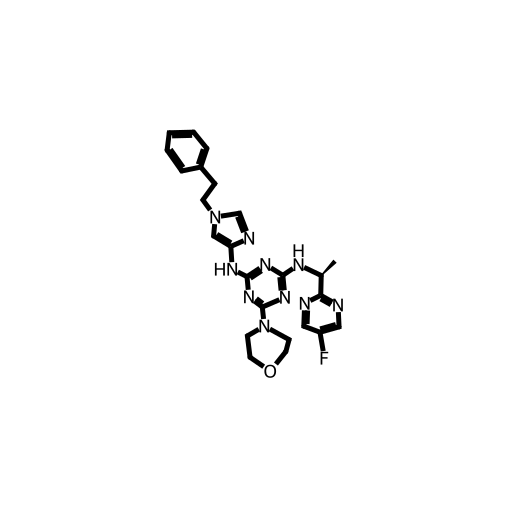 C[C@H](Nc1nc(Nc2cn(CCc3ccccc3)cn2)nc(N2CCOCC2)n1)c1ncc(F)cn1